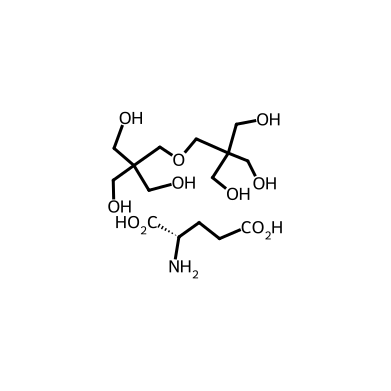 N[C@@H](CCC(=O)O)C(=O)O.OCC(CO)(CO)COCC(CO)(CO)CO